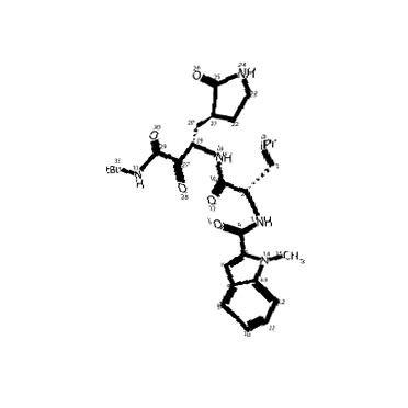 CC(C)C[C@H](NC(=O)c1cc2ccccc2n1C)C(=O)N[C@@H](C[C@@H]1CCNC1=O)C(=O)C(=O)NC(C)(C)C